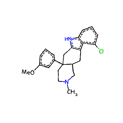 COc1cccc(C23CCN(C)CC2Cc2c([nH]c4cccc(Cl)c24)C3)c1